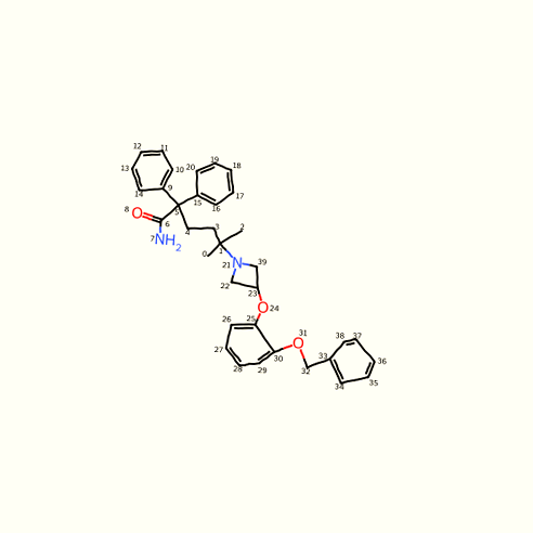 CC(C)(CCC(C(N)=O)(c1ccccc1)c1ccccc1)N1CC(Oc2ccccc2OCc2ccccc2)C1